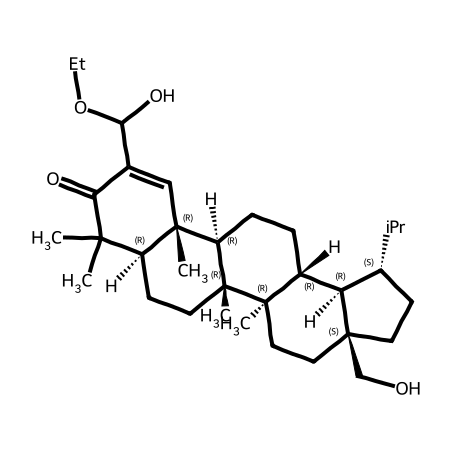 CCOC(O)C1=C[C@]2(C)[C@H]3CC[C@@H]4[C@H]5[C@H](C(C)C)CC[C@]5(CO)CC[C@@]4(C)[C@]3(C)CC[C@H]2C(C)(C)C1=O